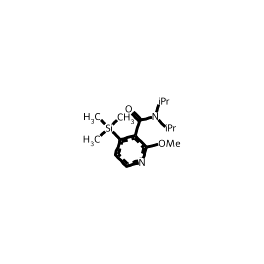 COc1nccc([Si](C)(C)C)c1C(=O)N(C(C)C)C(C)C